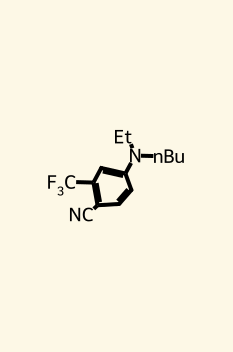 CCCCN(CC)c1ccc(C#N)c(C(F)(F)F)c1